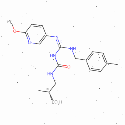 Cc1ccc(CN/C(=N/c2ccc(OC(C)C)nc2)NC(=O)NC[C@H](C)C(=O)O)cc1